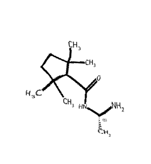 C[C@@H](N)NC(=O)C1C(C)(C)CCC1(C)C